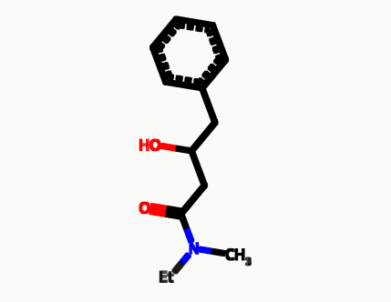 CCN(C)C(=O)CC(O)Cc1ccccc1